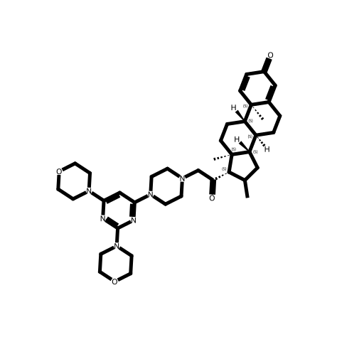 CC1C[C@H]2[C@@H]3CCC4=CC(=O)C=C[C@]4(C)[C@H]3CC[C@]2(C)[C@H]1C(=O)CN1CCN(c2cc(N3CCOCC3)nc(N3CCOCC3)n2)CC1